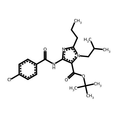 CCCc1nc(NC(=O)c2ccc(Cl)cc2)c(C(=O)OC(C)(C)C)n1CC(C)C